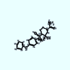 NC(=O)N1CCC(S(=O)(=O)c2ccc(Oc3ccccc3)cc2)C(O)(C(=O)O)C1